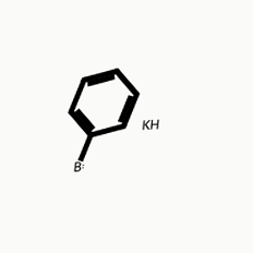 [B]c1ccccc1.[KH]